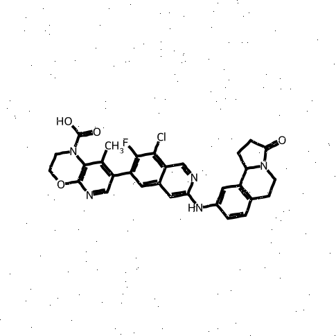 Cc1c(-c2cc3cc(Nc4ccc5c(c4)C4CCC(=O)N4CC5)ncc3c(Cl)c2F)cnc2c1N(C(=O)O)CCO2